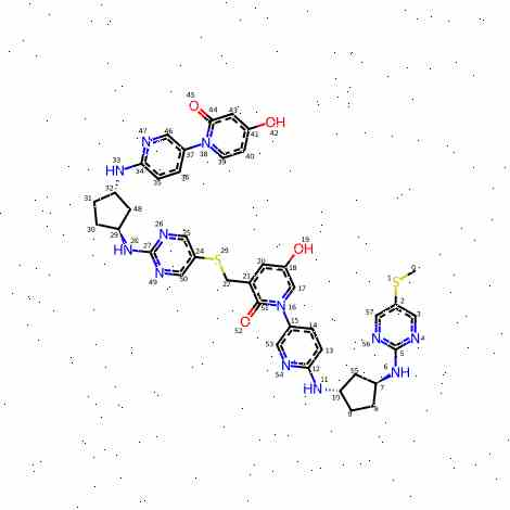 CSc1cnc(N[C@H]2CC[C@H](Nc3ccc(-n4cc(O)cc(CSc5cnc(N[C@H]6CC[C@H](Nc7ccc(-n8ccc(O)cc8=O)cn7)C6)nc5)c4=O)cn3)C2)nc1